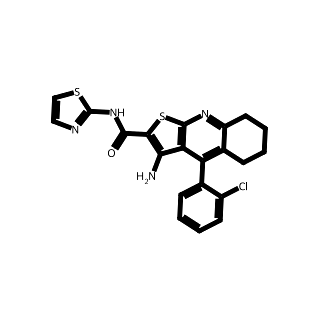 Nc1c(C(=O)Nc2nccs2)sc2nc3c(c(-c4ccccc4Cl)c12)CCCC3